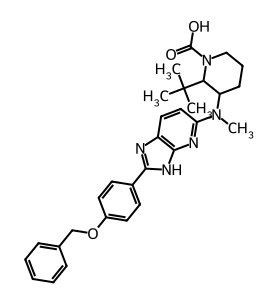 CN(c1ccc2nc(-c3ccc(OCc4ccccc4)cc3)[nH]c2n1)C1CCCN(C(=O)O)C1C(C)(C)C